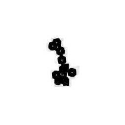 c1ccc(-c2nc(-c3ccc(-c4ccc5c(c4)-c4cccc6cccc-5c46)cc3)cc(-c3cccc4oc5cnccc5c34)n2)cc1